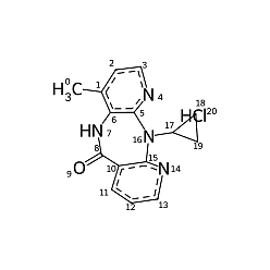 Cc1ccnc2c1NC(=O)c1cccnc1N2C1CC1.Cl